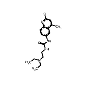 CCN(CC)CCNC(=S)Nc1ccc2nc(Cl)cc(C)c2c1